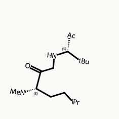 CN[C@@H](CCC(C)C)C(=O)CN[C@H](C(C)=O)C(C)(C)C